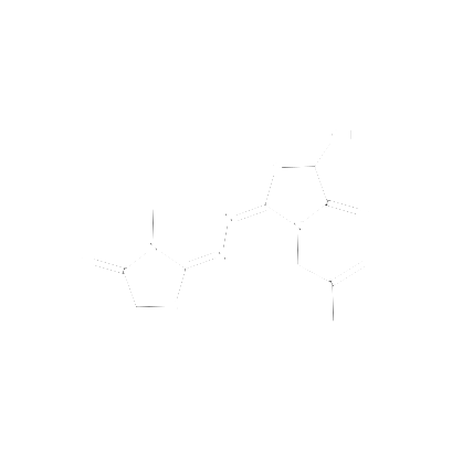 C=C(C)CN1C(=O)C(O)S/C1=N/N=C1/SCC(=O)N1C